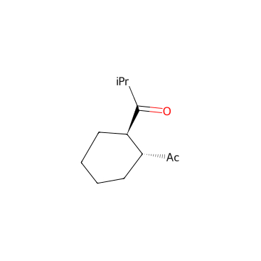 CC(=O)[C@@H]1CCCC[C@H]1C(=O)C(C)C